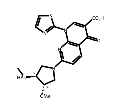 CO[C@H]1CN(c2ccc3c(=O)c(C(=O)O)cn(-c4nccs4)c3n2)C[C@@H]1[AsH]C